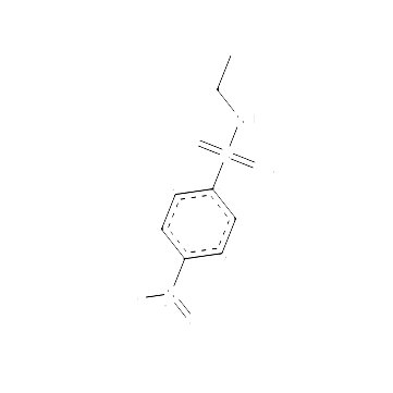 CCNS(=O)(=O)c1ccc([N+](=O)[O-])cc1